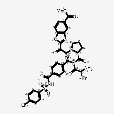 COC(=O)c1ccc2oc(C(=O)[C@H](C(C)C)N3CCC[C@H]3C(=O)N(C(=O)c3ccc(C(=O)NS(=O)(=O)c4ccc(Cl)cc4)cc3)C(=O)[C@@H](N)C(C)C)nc2c1